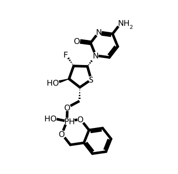 Nc1ccn([C@@H]2S[C@H](CO[PH]3(O)OCc4ccccc4O3)[C@@H](O)[C@@H]2F)c(=O)n1